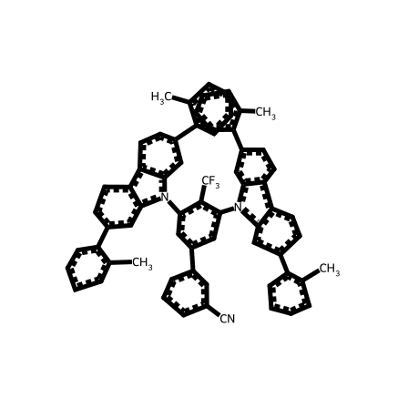 Cc1ccccc1-c1ccc2c3ccc(-c4ccccc4C)cc3n(-c3cc(-c4cccc(C#N)c4)cc(-n4c5cc(-c6ccccc6C)ccc5c5ccc(-c6ccccc6C)cc54)c3C(F)(F)F)c2c1